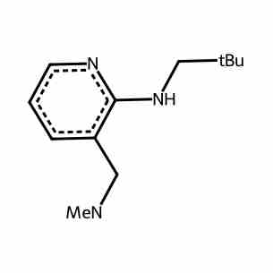 CNCc1cccnc1NCC(C)(C)C